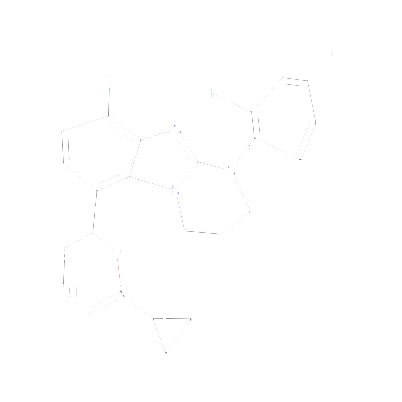 CCC(OC(=O)C1CC1)c1ccc(Cl)c2nc3n(c12)CCCN3c1ccc(Cl)cc1Cl